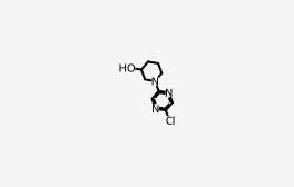 OC1CCCN(c2cnc(Cl)cn2)C1